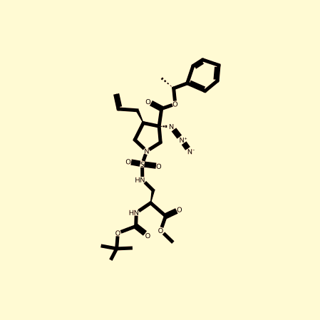 C=CC[C@@H]1CN(S(=O)(=O)NC[C@H](NC(=O)OC(C)(C)C)C(=O)OC)C[C@]1(N=[N+]=[N-])C(=O)O[C@H](C)c1ccccc1